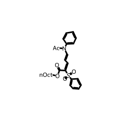 CCCCCCCCOC(=O)/C(=C\C=C\N(C(C)=O)c1ccccc1)S(=O)(=O)c1ccccc1